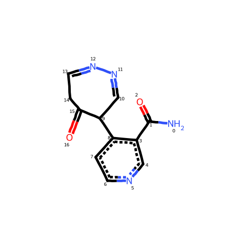 NC(=O)c1cnccc1C1C=NN=CCC1=O